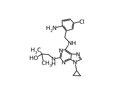 CC(C)(O)CNc1nc(NCc2cc(Cl)ccc2N)c2ncn(C3CC3)c2n1